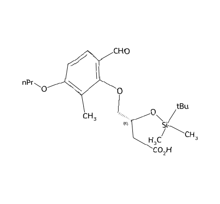 CCCOc1ccc(C=O)c(OC[C@@H](CC(=O)O)O[Si](C)(C)C(C)(C)C)c1C